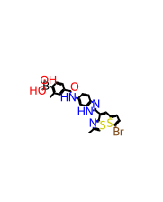 Cc1csc(/C(=C\c2ccc(Br)s2)c2nc3ccc(NC(=O)c4ccc(B(O)O)c(C)c4)cc3[nH]2)n1